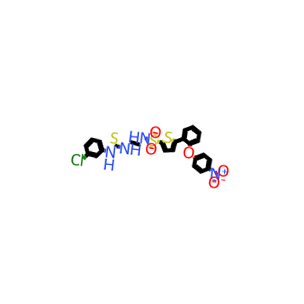 O=[N+]([O-])c1ccc(Oc2ccccc2-c2ccc(S(=O)(=O)NCCNC(=S)Nc3cccc(Cl)c3)s2)cc1